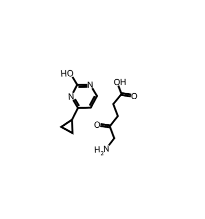 NCC(=O)CCC(=O)O.Oc1nccc(C2CC2)n1